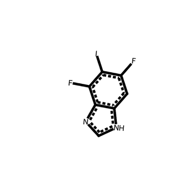 Fc1cc2[nH]cnc2c(F)c1I